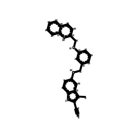 Cc1c(C#N)sc2ccc(OCc3cccc(OCc4ccc5ccccc5n4)c3)cc12